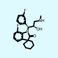 CNC[C@@H](O)[C@H](c1cccc(F)c1)N1C(=O)C2(CCCCC2)c2cccc(F)c21